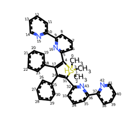 C[SH]1(C)(C)C(c2cccc(-c3ccccn3)n2)=C(c2ccccc2)C(c2ccccc2)=C1c1cccc(-c2ccccn2)n1